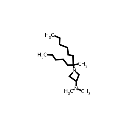 CCCCCCC(C)(CCCCC)N1CC(N(C)C)C1